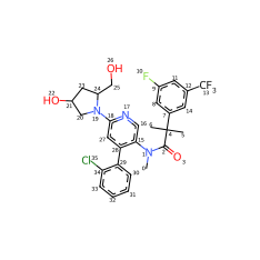 CN(C(=O)C(C)(C)c1cc(F)cc(C(F)(F)F)c1)c1cnc(N2CC(O)CC2CO)cc1-c1ccccc1Cl